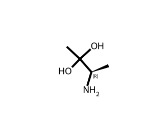 C[C@@H](N)C(C)(O)O